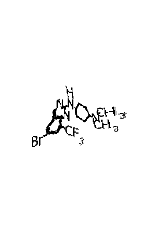 CN(C)[C@H]1CC[C@H](Nc2ncc3cc(Br)cc(C(F)(F)F)c3n2)CC1